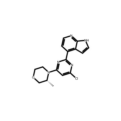 C[C@@H]1COCCN1c1cc(Cl)nc(-c2ccnc3[nH]ccc23)n1